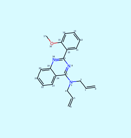 C=CCN(CC=C)c1nc(-c2ccccc2OC)nc2ccccc12